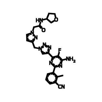 Cc1c(C#N)cccc1-c1nc(N)c(F)c(-c2cn(Cc3ccn(CC(=O)NC4CCOC4)n3)nn2)n1